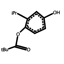 CC(C)c1cc(O)ccc1OC(=O)C(C)(C)C